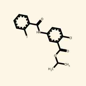 CC(C)OC(=O)c1cc(NC(=O)c2ccccc2I)ccc1Cl